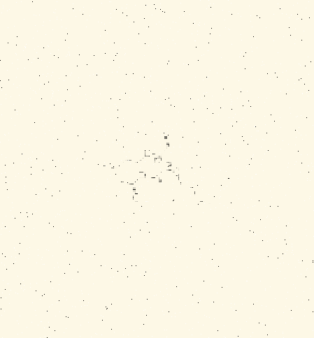 C=C[C@H](OCCCC)[C@@H](OCCCC)[C@H](C)OC(C)=O